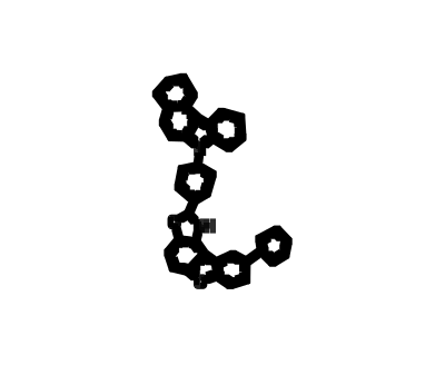 c1ccc(-c2ccc3oc4ccc5c(c4c3c2)NC(c2ccc(-n3c4ccccc4c4c6ccccc6ccc43)cc2)O5)cc1